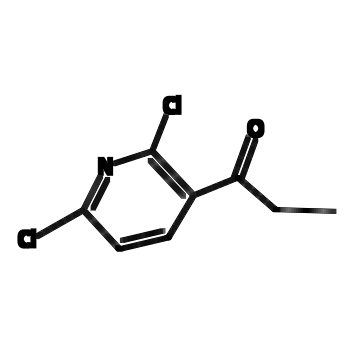 CCC(=O)c1ccc(Cl)nc1Cl